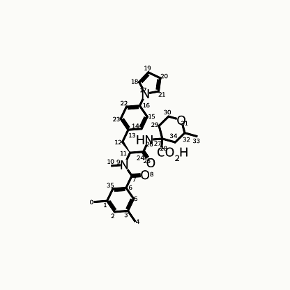 Cc1cc(C)cc(C(=O)N(C)[C@@H](Cc2ccc(-n3cccc3)cc2)C(=O)NC2(C(=O)O)CCOC(C)C2)c1